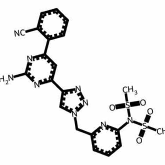 CS(=O)(=O)N(c1cccc(Cn2cc(-c3cc(-c4ccccc4C#N)nc(N)n3)nn2)n1)S(C)(=O)=O